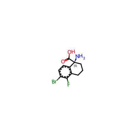 N[C@@]1(C(=O)O)CCCc2c1ccc(Br)c2F